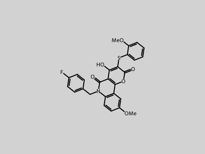 COc1ccc2c(c1)c1oc(=O)c(Sc3ccccc3OC)c(O)c1c(=O)n2Cc1ccc(F)cc1